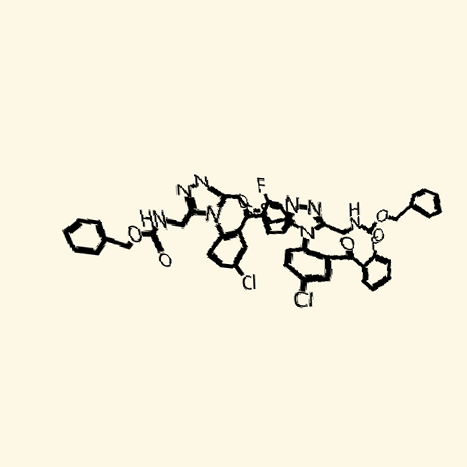 O=C(NCc1nnc(CSSCc2nnc(CNC(=O)OCc3ccccc3)n2-c2ccc(Cl)cc2C(=O)c2ccccc2F)n1-c1ccc(Cl)cc1C(=O)c1ccccc1F)OCc1ccccc1